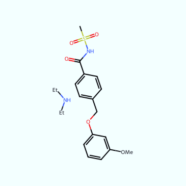 CCNCC.COc1cccc(OCc2ccc(C(=O)NS(C)(=O)=O)cc2)c1